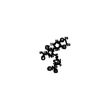 CC(=O)n1nc(Sc2ncc([N+](=O)[O-])s2)n(-c2ccc3c(c2)OCCO3)c1=O